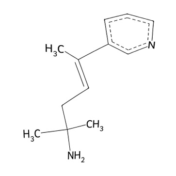 CC(=CCC(C)(C)N)c1cccnc1